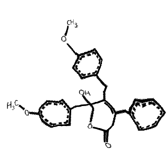 COc1ccc(CC2=C(c3ccccc3)C(=O)OC2(O)c2ccc(OC)cc2)cc1